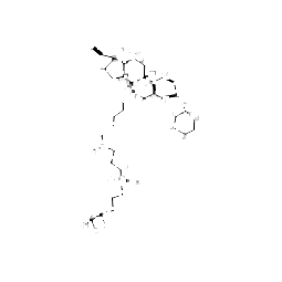 C#C[C@]1(O)CC[C@H]2[C@@H]3[C@H](CCCCCN(C)CCCS(=O)(=O)CCCC(F)(F)C(F)(F)F)Cc4cc(OC5CCCCO5)ccc4[C@H]3CC[C@@]21C